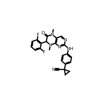 CN1C(=O)C(c2c(F)cccc2F)N(C)c2nc(Nc3ccc(C4(C#N)CC4)cc3)ncc21